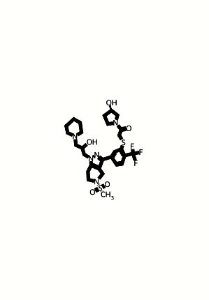 CS(=O)(=O)N1CCc2c(c(-c3ccc(C(F)(F)F)c(SCC(=O)N4CC[C@@H](O)C4)c3)nn2CC(O)CN2CCCCC2)C1